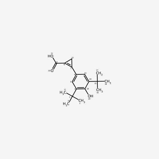 CC(C)(C)c1cc(C2=C(C(=O)O)C2)cc(C(C)(C)C)c1O